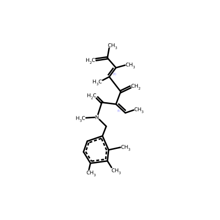 C=C(C)/C(C)=C(\C)C(=C)/C(=C\C)C(=C)N(C)Cc1ccc(C)c(C)c1C